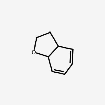 [C]1COC2C=CC=CC12